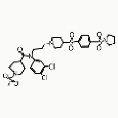 CS(=O)(=O)N1CCC(C(=O)N(CCCN2CCC(S(=O)(=O)c3ccc(S(=O)(=O)N4CCCC4)cc3)CC2)c2ccc(Cl)c(Cl)c2)CC1